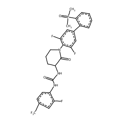 CP(C)(=O)c1ccccc1-c1cc(F)c(N2CCCC(NC(=O)Nc3ccc(C(F)(F)F)cc3F)C2=O)c(F)c1